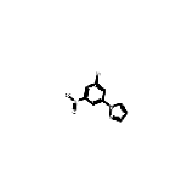 O=[N+]([O-])c1cc(Br)cc(-n2cccn2)c1